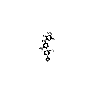 C[C@H]1CN(C2COC2)CCN1c1ccc(Nc2nc(Br)cn(C)c2=O)cc1[N+](=O)[O-]